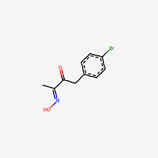 CC(=NO)C(=O)Cc1ccc(Br)cc1